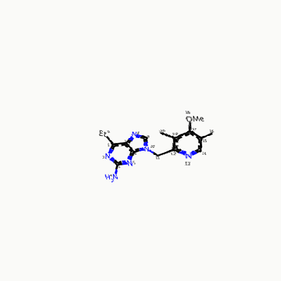 CCc1nc(N)nc2c1ncn2Cc1ncc(C)c(OC)c1C